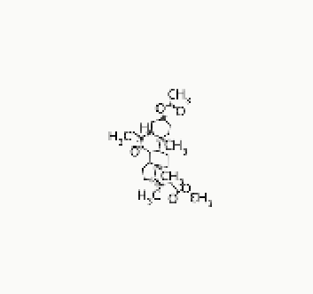 CC[C@@H]1C(=O)C2C3CC[C@H]([C@H](C)CC(=O)OC)[C@@]3(C)CCC2[C@@]2(C)CC[C@@H](OC(C)=O)C[C@@H]12